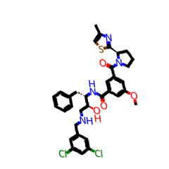 COc1cc(C(=O)N[C@@H](Cc2ccccc2)[C@@H](O)CNCc2cc(Cl)cc(Cl)c2)cc(C(=O)N2CCC[C@@H]2c2nc(C)cs2)c1